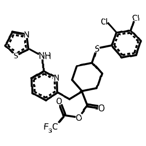 O=C(OC(=O)C1(Cc2cccc(Nc3nccs3)n2)CCC(Sc2cccc(Cl)c2Cl)CC1)C(F)(F)F